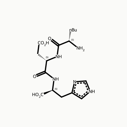 CCCC[C@H](N)C(=O)N[C@@H](CC(=O)O)C(=O)N[C@@H](Cc1c[nH]cn1)C(=O)O